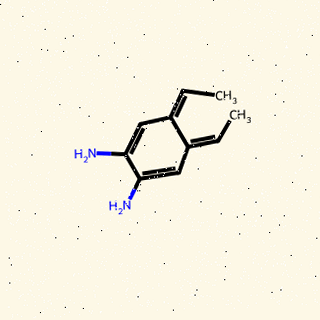 C/C=c1/cc(N)c(N)c/c1=C/C